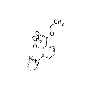 CCOC(=O)c1cccc(-n2cccn2)c1OC